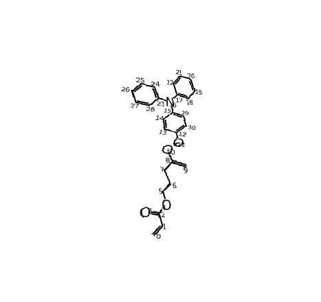 C=CC(=O)OCCCC(=C)OOc1ccc(N(c2ccccc2)c2ccccc2)cc1